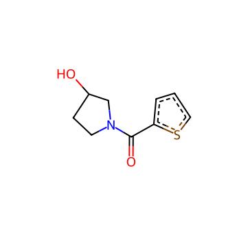 O=C(c1cccs1)N1CCC(O)C1